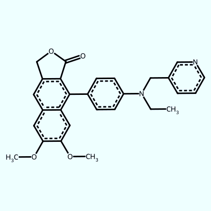 CCN(Cc1cccnc1)c1ccc(-c2c3c(cc4cc(OC)c(OC)cc24)COC3=O)cc1